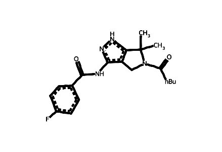 CCCCC(=O)N1Cc2c(NC(=O)c3ccc(F)cc3)n[nH]c2C1(C)C